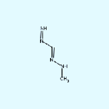 CN/N=C/N=N